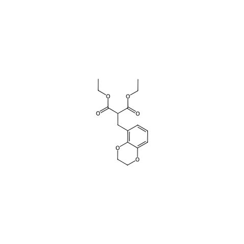 CCOC(=O)C(Cc1cccc2c1OCCO2)C(=O)OCC